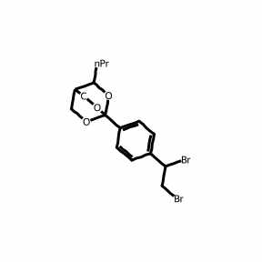 CCCC1OC2(c3ccc(C(Br)CBr)cc3)OCC1CO2